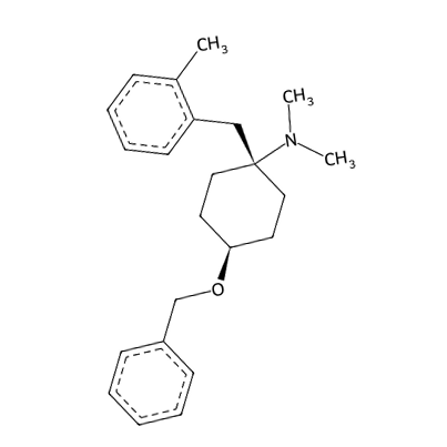 Cc1ccccc1C[C@]1(N(C)C)CC[C@H](OCc2ccccc2)CC1